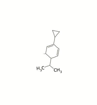 CC(C)C1[CH]C=C(C2CC2)C=C1